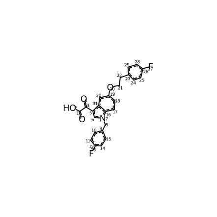 O=C(O)C(=O)c1cn(Cc2ccc(F)cc2)c2ccc(OCCc3ccc(F)cc3)cc12